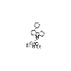 CCOP(=O)(CCn1c2ccccc2c2c(-c3ccccc3)cccc21)OCC